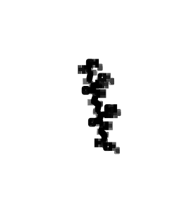 CNCCNC(=O)[C@H](CCCNC(=O)[C@H](CCNC)NC)NC